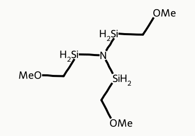 COC[SiH2]N([SiH2]COC)[SiH2]COC